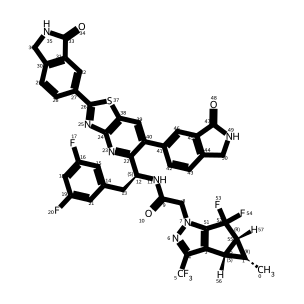 C[C@@H]1[C@@H]2c3c(C(F)(F)F)nn(CC(=O)N[C@@H](Cc4cc(F)cc(F)c4)c4nc5nc(-c6ccc7c(c6)C(=O)NC7)sc5cc4-c4ccc5c(c4)C(=O)NC5)c3C(F)(F)[C@H]12